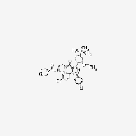 CCOc1cc(C(C)(C)C)ccc1C1=N[C@@H](c2ccc(Cl)cc2)[C@@H](c2ccc(Cl)cc2)N1C(=O)N1CCN(CC(=O)N2CCOCC2)CC1